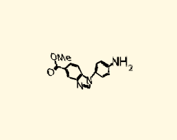 COC(=O)c1ccc2c(c1)ncn2-c1ccc(N)cc1